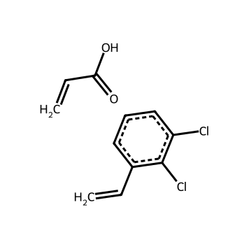 C=CC(=O)O.C=Cc1cccc(Cl)c1Cl